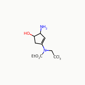 CCOC(=O)N(CC(Cl)(Cl)Cl)C1=CC(N)C(O)C1